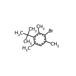 Cc1cc(C)c(C(C)(C)C)c(C)c1Br